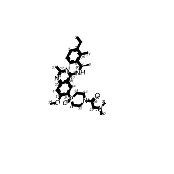 CCc1cccc([C@@H](C)Nc2nc(C)nc3cc(OC)c(P4(=O)CCN(C(=O)CN(C)C)CC4)cc23)c1C